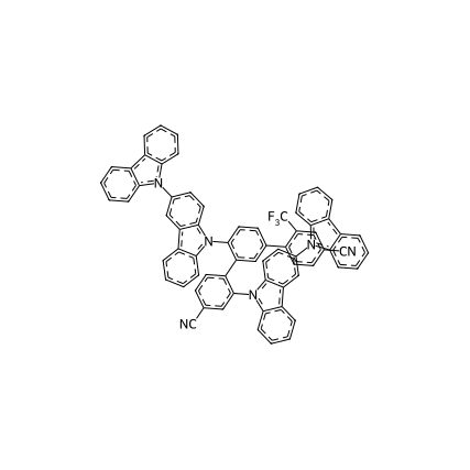 N#Cc1ccc(-c2cc(-c3ccc(C#N)cc3C(F)(F)F)ccc2-n2c3ccccc3c3cc(-n4c5ccccc5c5ccccc54)ccc32)c(-n2c3ccccc3c3cc(-n4c5ccccc5c5ccccc54)ccc32)c1